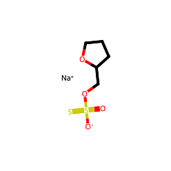 O=S([O-])(=S)OCC1CCCO1.[Na+]